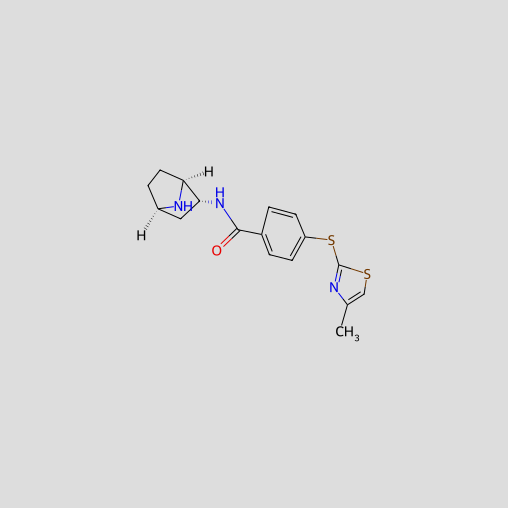 Cc1csc(Sc2ccc(C(=O)N[C@@H]3C[C@H]4CC[C@@H]3N4)cc2)n1